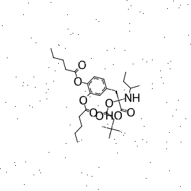 CCCCC(=O)Oc1ccc(C[C@](NC(C)CC)(OC(=O)CC(C)(C)C)C(=O)O)cc1OC(=O)CCCC